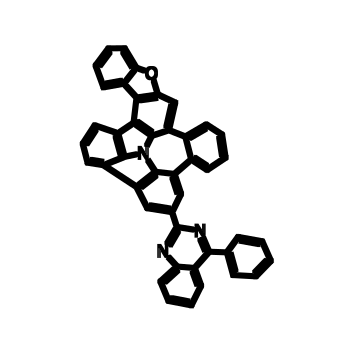 c1ccc(-c2nc(-c3cc4c5c(c3)c3cccc6c7c8c(cc(c7n5c36)-c3ccccc3-4)oc3ccccc38)nc3ccccc23)cc1